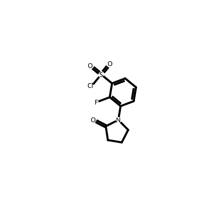 O=C1CCCN1c1cccc(S(=O)(=O)Cl)c1F